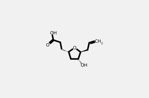 C=CC[C@@H]1O[C@@H](CCC(=O)O)C[C@H]1O